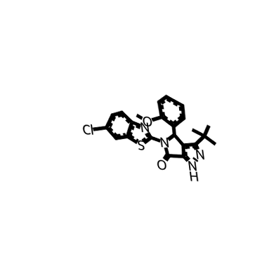 COc1ccccc1C1c2c(C(C)(C)C)n[nH]c2C(=O)N1c1nc2ccc(Cl)cc2s1